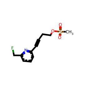 CS(=O)(=O)OCCC#Cc1cccc(CF)n1